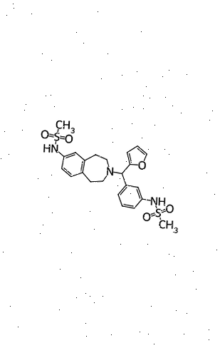 CS(=O)(=O)Nc1cccc(C(c2ccco2)N2CCc3ccc(NS(C)(=O)=O)cc3CC2)c1